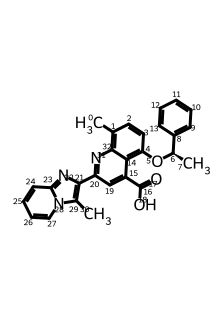 Cc1ccc(O[C@H](C)c2ccccc2)c2c(C(=O)O)cc(-c3nc4ccccn4c3C)nc12